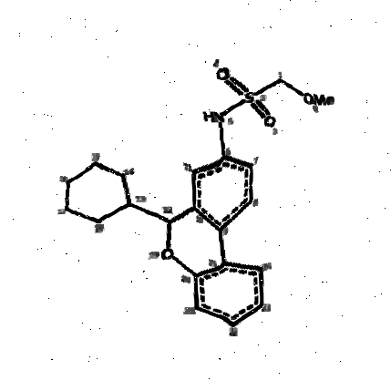 COCS(=O)(=O)Nc1ccc2c(c1)C(C1CCCCC1)Oc1ccccc1-2